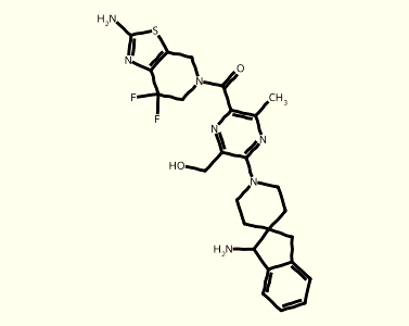 Cc1nc(N2CCC3(CC2)Cc2ccccc2C3N)c(CO)nc1C(=O)N1Cc2sc(N)nc2C(F)(F)C1